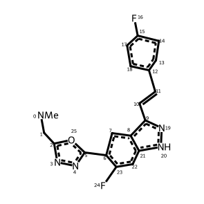 CNCc1nnc(-c2cc3c(C=Cc4ccc(F)cc4)n[nH]c3cc2F)o1